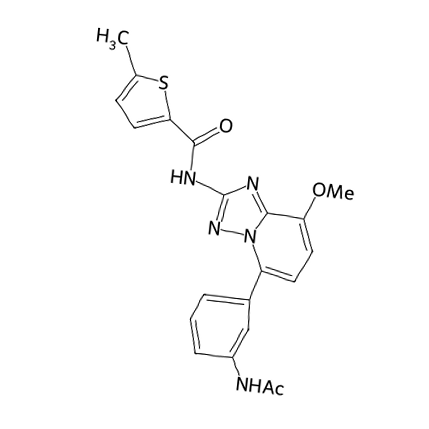 COc1ccc(-c2cccc(NC(C)=O)c2)n2nc(NC(=O)c3ccc(C)s3)nc12